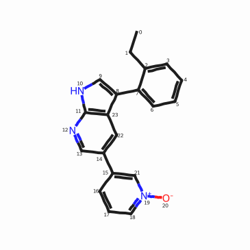 CCc1ccccc1-c1c[nH]c2ncc(-c3ccc[n+]([O-])c3)cc12